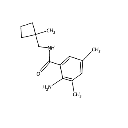 Cc1cc(C)c(N)c(C(=O)NCC2(C)CCC2)c1